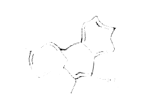 Cc1c(N)c2ccccc2c2ccccc12